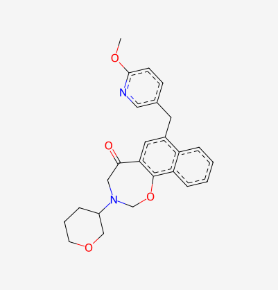 COc1ccc(Cc2cc3c(c4ccccc24)OCN(C2CCCOC2)CC3=O)cn1